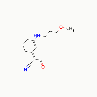 COCCCNC1=C/C(=C(/C#N)C=O)CCC1